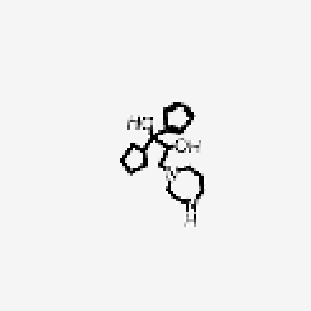 OC(CN1CCCNCC1)C(O)(c1ccccc1)C1CCCC1